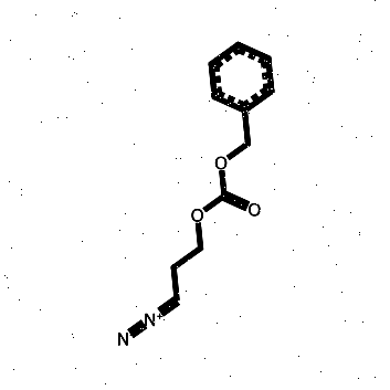 [N-]=[N+]=CCCOC(=O)OCc1ccccc1